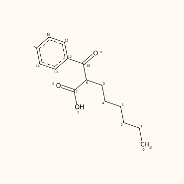 CCCCCCC(C(=O)O)C(=O)c1ccccc1